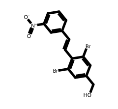 O=[N+]([O-])c1cccc(/C=C/c2c(Br)cc(CO)cc2Br)c1